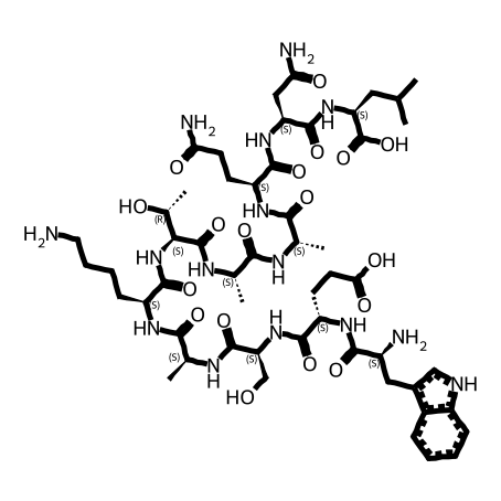 CC(C)C[C@H](NC(=O)[C@H](CC(N)=O)NC(=O)[C@H](CCC(N)=O)NC(=O)[C@H](C)NC(=O)[C@H](C)NC(=O)[C@@H](NC(=O)[C@H](CCCCN)NC(=O)[C@H](C)NC(=O)[C@H](CO)NC(=O)[C@H](CCC(=O)O)NC(=O)[C@@H](N)Cc1c[nH]c2ccccc12)[C@@H](C)O)C(=O)O